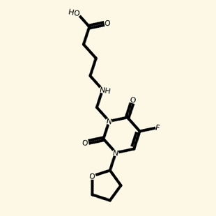 O=C(O)CCCNCn1c(=O)c(F)cn(C2CCCO2)c1=O